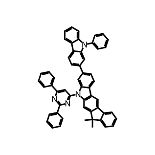 CC1(C)c2ccccc2-c2cc3c4ccc(-c5ccc6c7ccccc7n(-c7ccccc7)c6c5)cc4n(-c4cc(-c5ccccc5)nc(-c5ccccc5)n4)c3cc21